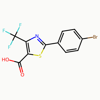 O=C(O)c1sc(-c2ccc(Br)cc2)nc1C(F)(F)F